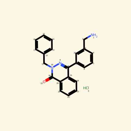 Cl.NCc1cccc(-c2nn(Cc3ccccc3)c(=O)c3ccccc23)c1